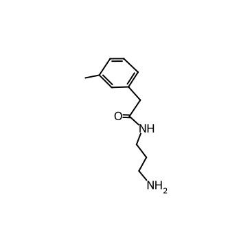 Cc1cccc(CC(=O)NCCCN)c1